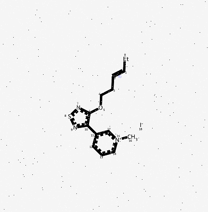 CC/C=C/CCOc1nsnc1-c1ccc[n+](C)c1.[I-]